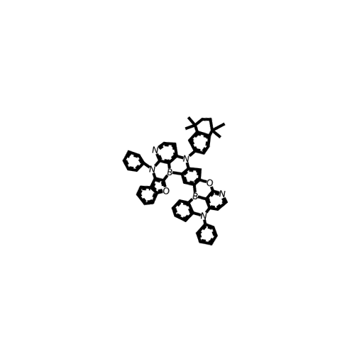 CC1(C)CCC(C)(C)c2cc(N3c4cc5c(cc4B4c6oc7ccccc7c6N(c6ccccc6)c6nccc3c64)B3c4ccccc4N(c4ccccc4)c4ccnc(c43)O5)ccc21